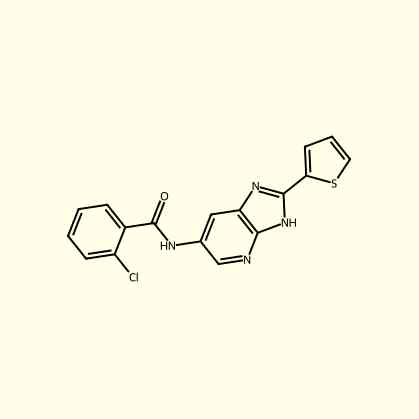 O=C(Nc1cnc2[nH]c(-c3cccs3)nc2c1)c1ccccc1Cl